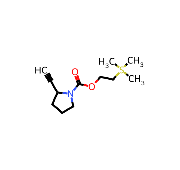 C#CC1CCCN1C(=O)OCCS(C)(C)C